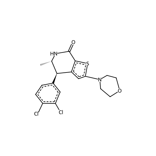 C[C@@H]1NC(=O)c2sc(N3CCOCC3)cc2[C@H]1c1ccc(Cl)c(Cl)c1